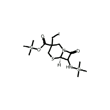 C[Si](C)(C)NC1C(=O)N2CC(CI)(C(=O)O[Si](C)(C)C)CS[C@H]12